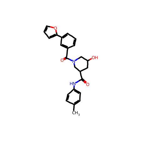 Cc1ccc(NC(=O)C2CC(O)CN(C(=O)c3cccc(-c4ccco4)c3)C2)cc1